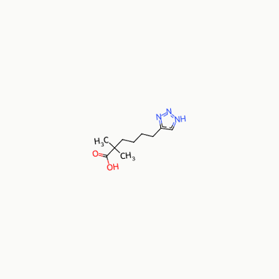 CC(C)(CCCCc1c[nH]nn1)C(=O)O